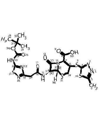 Cc1nnc(SC2=C(C(=O)O)N3C(=O)[C@@H](NC(=O)Cc4nsc(NC(=O)OC(C)(C)C)n4)[C@H]3SC2)s1